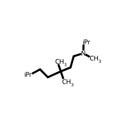 CC(C)CCC(C)(C)CCN(C)C(C)C